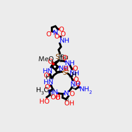 CC[C@H](C)[C@@H]1CC(=O)CNC(=O)[C@@H]2Cc3c([nH]c4c(CSCCCCNC(=O)ON5C(=O)CCC5=O)c(OC)ccc34)[S+]([O-])C[C@H](NC(=O)CNC1=O)C(=O)N[C@@H](CC(N)=O)C(=O)N1C[C@H](O)CC1C(=O)N[C@@H]([C@@H](C)[C@@H](O)CO)C(=O)N2